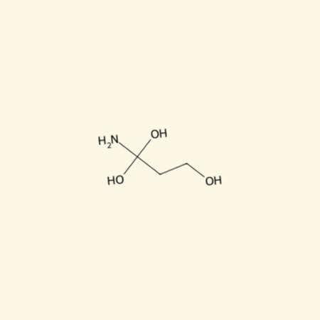 NC(O)(O)CCO